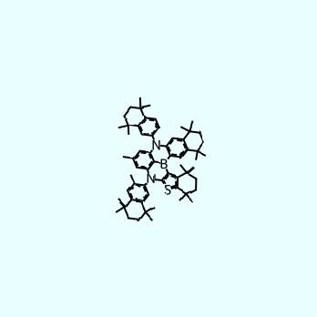 Cc1cc2c3c(c1)N(c1cc4c(cc1C)C(C)(C)CCC4(C)C)c1sc4c(c1B3c1cc3c(cc1N2c1ccc2c(c1)C(C)(C)CCC2(C)C)C(C)(C)CCC3(C)C)C(C)(C)CCC4(C)C